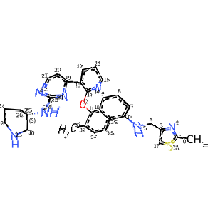 Cc1nc(CNc2cccc3c(Oc4ncccc4-c4ccnc(N[C@H]5CCCNC5)n4)c(C)ccc23)cs1